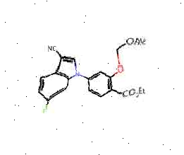 CCOC(=O)c1ccc(-n2cc(C#N)c3ccc(F)cc32)cc1OCOC